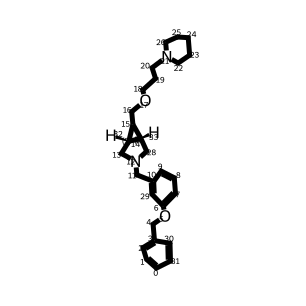 c1ccc(COc2cccc(CN3C[C@@H]4C(COCCCN5CCCCC5)[C@@H]4C3)c2)cc1